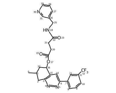 CC1Cc2nnc(-c3cccc(C(F)(F)F)c3)cc2C(OC(=O)CCC(=O)NCc2cccnc2)C1